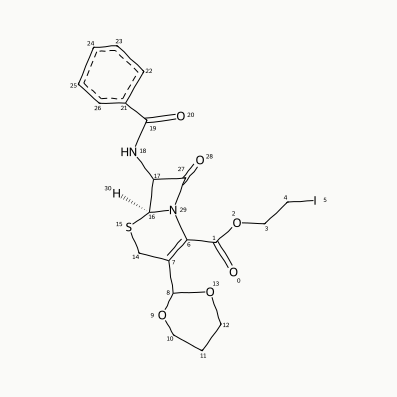 O=C(OCCI)C1=C(C2OCCCO2)CS[C@H]2C(NC(=O)c3ccccc3)C(=O)N12